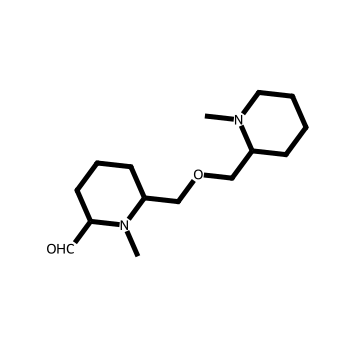 CN1CCCCC1COCC1CCCC(C=O)N1C